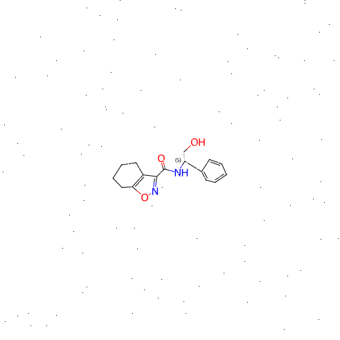 O=C(N[C@H](CO)c1ccccc1)c1noc2c1CCCC2